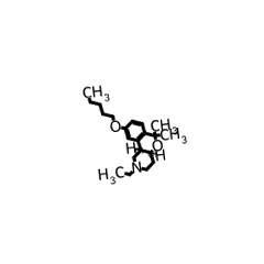 CCCCCOc1ccc2c(c1)[C@H]1CN(CC)CC[C@@H]1OC2(C)C